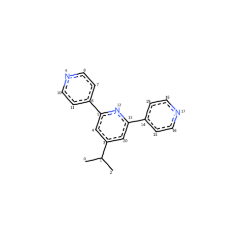 CC(C)c1cc(-c2ccncc2)nc(-c2ccncc2)c1